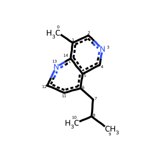 Cc1cncc2c(CC(C)C)ccnc12